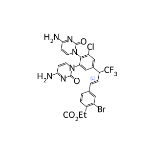 CCOC(=O)c1ccc(/C=C/C(c2cc(Cl)c(-n3ccc(N)nc3=O)c(-n3ccc(N)nc3=O)c2)C(F)(F)F)cc1Br